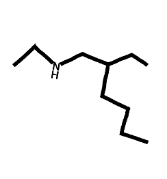 C[CH]NCC(CC)CCCC